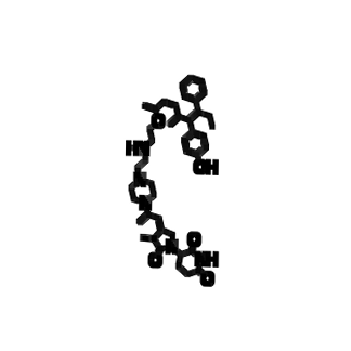 C=C(/C=C\C(=C)/C(=C(/CC)c1ccccc1)c1ccc(O)cc1)OCCNCCN1CCN(C(=C)/C=C2/CN(C3CCC(=O)NC3=O)C(=O)C2=C)CC1